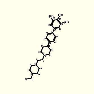 CCC1CCC(CCC2CCC(c3ccc(-c4cc(F)c(Cl)c(F)c4)cc3)CC2)CC1